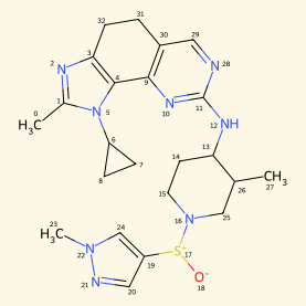 Cc1nc2c(n1C1CC1)-c1nc(NC3CCN([S+]([O-])c4cnn(C)c4)CC3C)ncc1CC2